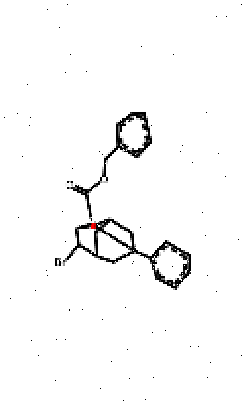 O=C(OCc1ccccc1)N1C2CC3CC(c4ccccc4)(C2)CC1C3Br